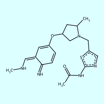 CN/C=C1/C=C(OC2CC(C)N(Cc3cnc(NC(C)=O)s3)C2)C=CC1=N